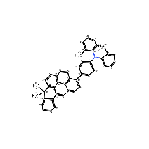 Cc1ccccc1N(c1ccc(-c2ccc3cc4c5c(ccc6ccc2c3c65)C(C)(C)c2ccccc2-4)cc1)c1ccccc1C